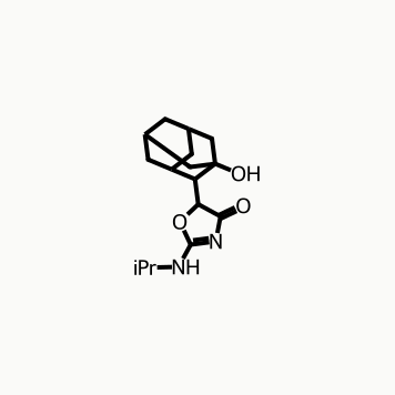 CC(C)NC1=NC(=O)C(C2C3CC4CC(C3)CC2(O)C4)O1